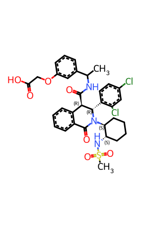 CC(NC(=O)[C@@H]1c2ccccc2C(=O)N([C@H]2CCCC[C@@H]2NS(C)(=O)=O)[C@H]1c1ccc(Cl)cc1Cl)c1cccc(OCC(=O)O)c1